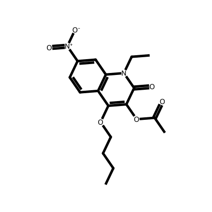 CCCCOc1c(OC(C)=O)c(=O)n(CC)c2cc([N+](=O)[O-])ccc12